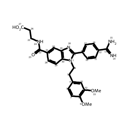 COc1ccc(CCn2c(-c3ccc(C(=N)N)cc3)nc3cc(C(=O)NCCC(=O)O)ccc32)cc1OC